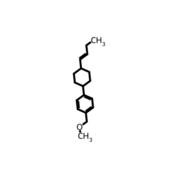 CC/C=C/C1CCC(c2ccc(COC)cc2)CC1